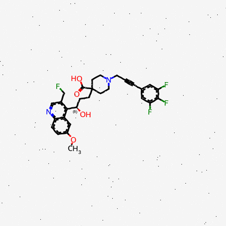 COc1ccc2ncc(CF)c([C@H](O)CCC3(C(=O)O)CCN(CC#Cc4cc(F)c(F)c(F)c4)CC3)c2c1